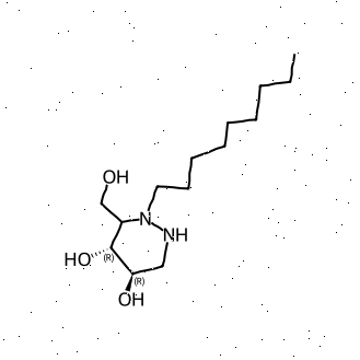 CCCCCCCCCN1NC[C@@H](O)[C@H](O)C1CO